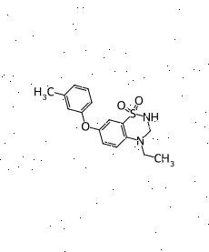 CCN1CNS(=O)(=O)c2cc(Oc3cccc(C)c3)ccc21